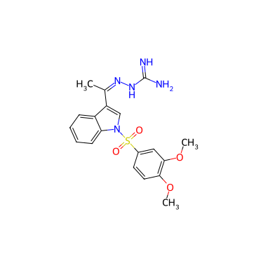 COc1ccc(S(=O)(=O)n2cc(/C(C)=N\NC(=N)N)c3ccccc32)cc1OC